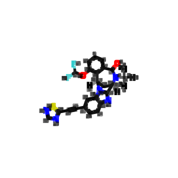 [2H]C([2H])([2H])N1C(=O)c2cccc(OC(F)F)c2[C@H]2C[C@@H]1c1nc3ccc(C#Cc4ncns4)cc3n12